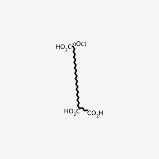 CCCCCCCCC(CCCCCCCCCCCCCCCCCCCCCCC(CCCC(=O)O)C(=O)O)C(=O)O